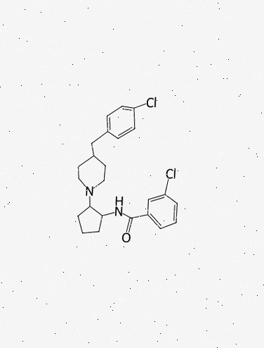 O=C(NC1CCCC1N1CCC(Cc2ccc(Cl)cc2)CC1)c1cccc(Cl)c1